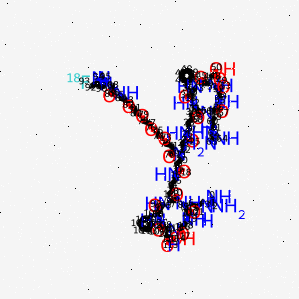 N=C(N)NCCC[C@@H]1NC(=O)[C@H](CCCCNC(=O)CCN(CCC(=O)NCCCC[C@@H]2NC(=O)[C@@H](Cc3ccccc3)NC(=O)[C@H](CC(=O)O)NC(=O)CNC(=O)[C@H](CCCNC(=N)N)NC2=O)C(=O)CCOCCOCCOCCOCCNC(=O)Cn2cc(C[18F])nn2)NC(=O)[C@@H](Cc2ccccc2)NC(=O)[C@H](CC(=O)O)NC(=O)CNC1=O